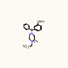 CSc1cccc([C@@H](c2ccccc2)N2CCN(CC(=O)O)[C@H](C)C2)c1